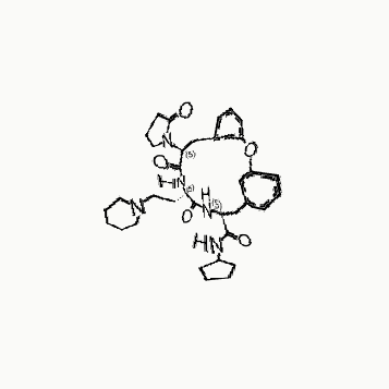 O=C(NC1CCCC1)[C@@H]1Cc2cccc(c2)Oc2cccc(c2)C[C@H](N2CCCC2=O)C(=O)N[C@@H](CCN2CCCCC2)C(=O)N1